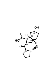 N#C[C@@H]1CCCN1C(=O)[C@@H]1C[C@H]2CC[C@@H](O)C[C@H]2N1C(=O)O